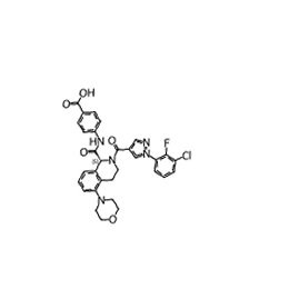 O=C(O)c1ccc(NC(=O)[C@@H]2c3cccc(N4CCOCC4)c3CCN2C(=O)c2cnn(-c3cccc(Cl)c3F)c2)cc1